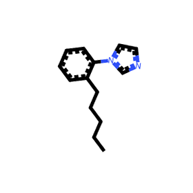 CCCCCc1ccccc1-n1ccnc1